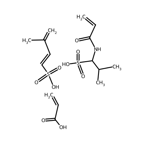 C=C(C)C=CS(=O)(=O)O.C=CC(=O)NC(C(C)C)S(=O)(=O)O.C=CC(=O)O